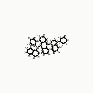 c1ccc(-c2ccc(-c3c4ccccc4c(N(c4ccccc4)c4cccc5ccccc45)c4ccccc34)c3ccccc23)cc1